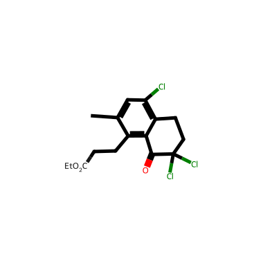 CCOC(=O)CCc1c(C)cc(Cl)c2c1C(=O)C(Cl)(Cl)CC2